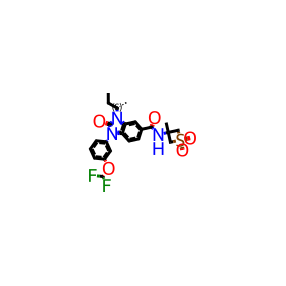 CC[C@H](C)n1c(=O)n(-c2cccc(OC(F)F)c2)c2ccc(C(=O)NC3(C)CS(=O)(=O)C3)cc21